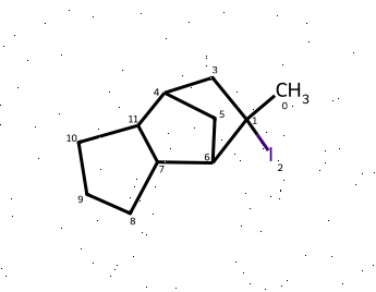 CC1(I)CC2CC1C1CCCC21